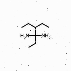 CCC(CC)C(N)(N)CC